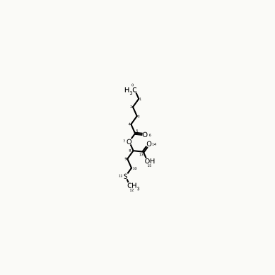 CCCCCC(=O)OC(CCSC)C(=O)O